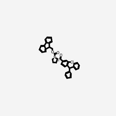 O=C(c1ccc([C](c2ccccc2)c2ccccc2)c(Cl)c1)[C@@H]1CCCN1C(=O)OCC1c2ccccc2-c2ccccc21